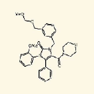 COCOCc1cccc(Cn2c(C(=O)N3CCNCC3)c(-c3ccccc3)n(-c3ccccc3OC)c2=O)c1